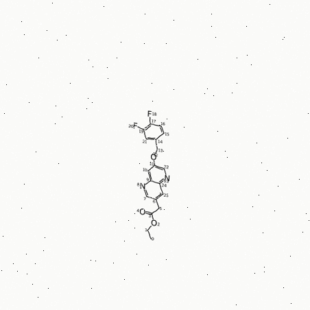 CCOC(=O)Cc1cnc2cc(OCc3ccc(F)c(F)c3)cnc2c1